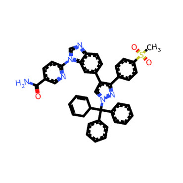 CS(=O)(=O)c1ccc(-c2nn(C(c3ccccc3)(c3ccccc3)C3C=CC=CC3)cc2-c2ccc3ncn(-c4ccc(C(N)=O)cn4)c3c2)cc1